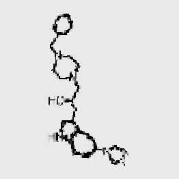 OC(Cc1c[nH]c2ccc(-n3cnnc3)cc12)CN1CCN(Cc2ccccc2)CC1